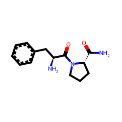 NC(=O)[C@@H]1CCCN1C(=O)[C@@H](N)Cc1ccccc1